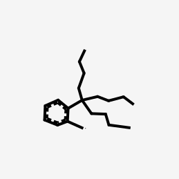 [CH2]c1ccccc1C(CCCC)(CCCC)CCCC